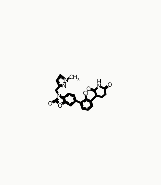 Cn1ccc(Cn2c(=O)oc3cc(-c4cccc(C5CCC(=O)NC5=O)c4Cl)ccc32)n1